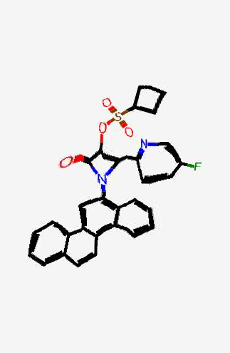 O=C1C(OS(=O)(=O)C2CCC2)C(c2ccc(F)cn2)N1c1cc2c3ccccc3ccc2c2ccccc12